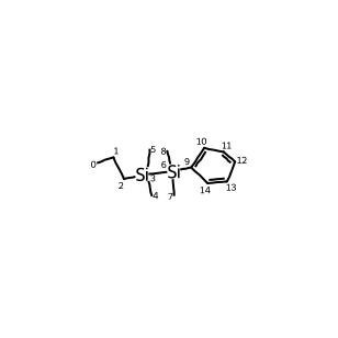 CCC[Si](C)(C)[Si](C)(C)c1ccccc1